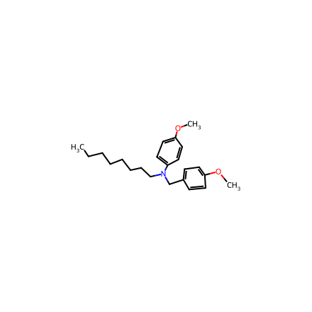 CCCCCCCCN(Cc1ccc(OC)cc1)c1ccc(OC)cc1